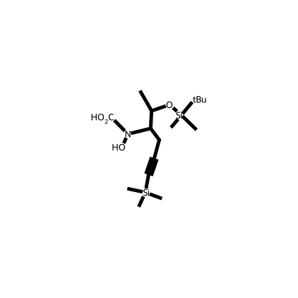 CC(O[Si](C)(C)C(C)(C)C)C(CC#C[Si](C)(C)C)N(O)C(=O)O